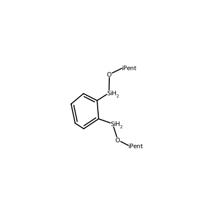 CCCC(C)O[SiH2]c1ccccc1[SiH2]OC(C)CCC